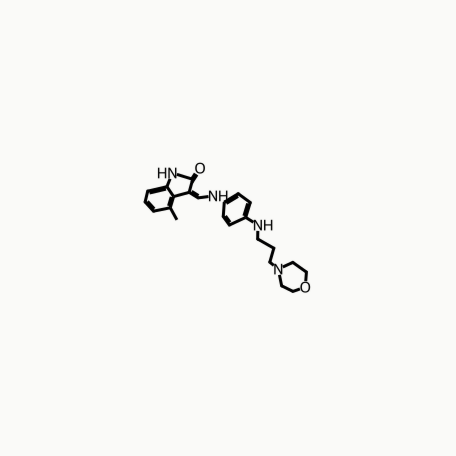 Cc1cccc2c1C(=CNc1ccc(NCCCN3CCOCC3)cc1)C(=O)N2